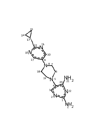 Nc1ncc(N2CCN(c3cnc(C4CC4)nc3)CC2)c(N)n1